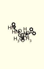 CP(C)(=O)OC[C@@H](/C=C1\CCC[C@H]1C(=O)NCCc1cc2ccccc2[nH]1)NC(=O)OCC1c2ccccc2-c2ccccc21